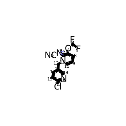 N#C/N=c1/c(OC(F)F)cccn1Cc1ccc(Cl)nc1